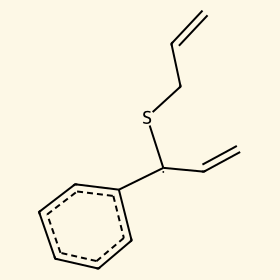 C=CCS[C](C=C)c1ccccc1